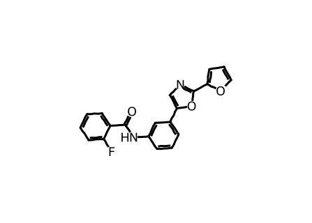 O=C(Nc1cccc(-c2cnc(-c3ccco3)o2)c1)c1ccccc1F